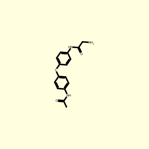 CC(=O)Nc1ccc(Sc2ccc(NC(=O)CN)cc2)cc1